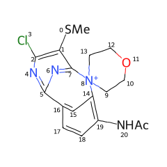 CSc1c(Cl)nc2nc1[N+]1(CCOCC1)c1cc-2ccc1NC(C)=O